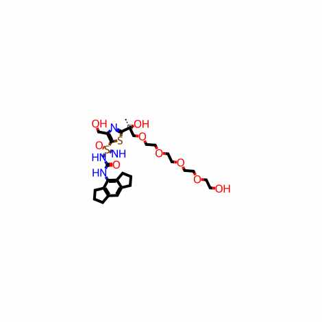 C[C@](O)(COCCOCCOCCOCCO)c1nc(CO)c(S(=N)(=O)NC(=O)Nc2c3c(cc4c2CCC4)CCC3)s1